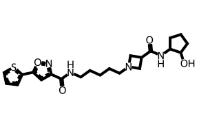 O=C(NCCCCCN1CC(C(=O)NC2CCCC2O)C1)c1cc(-c2cccs2)on1